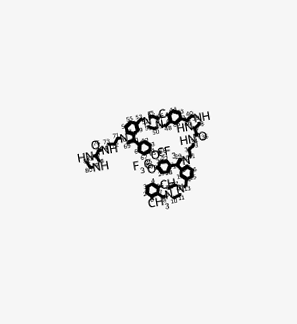 Cc1cccc(C)c1CN1CCN(Cc2ccc3c(c2)c(-c2ccc(OC(F)(F)F)cc2)cn3CCCNC(=O)C2CNCC(c3ccc(C(F)(F)F)c(CN4CCN(Cc5ccc6c(c5)c(-c5ccc(OC(F)(F)F)cc5)cn6CCCNC(=O)C5CNCCN5)CC4)c3)N2)CC1